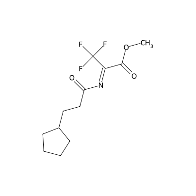 COC(=O)C(=NC(=O)CCC1CCCC1)C(F)(F)F